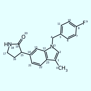 Cc1cn(Cc2ccc(F)cc2)c2cc(C3CCNC3=O)ccc12